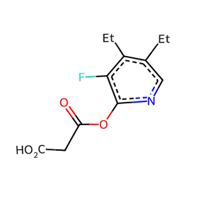 CCc1cnc(OC(=O)CC(=O)O)c(F)c1CC